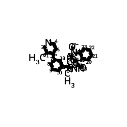 Cc1cnccc1-c1cccc(C(C)(C)NS(=O)(=O)c2ccccc2[N+](=O)[O-])c1